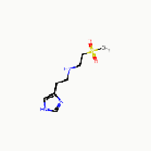 CS(=O)(=O)CCNCCc1c[nH]cn1